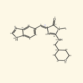 CN1C(=O)/C(=C/c2ccc3[nH]cnc3c2)N=C1NCC1CCOCC1